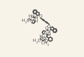 CN[C@@H](C)C(=O)N[C@H](C(=O)N1CCC[C@H]1C(=O)N[C@H]1c2ccccc2C[C@H]1OCC#CC#CCO[C@@H]1Cc2ccccc2[C@@H]1NC(=O)[C@@H]1CCCN1NC)C1CCCCC1